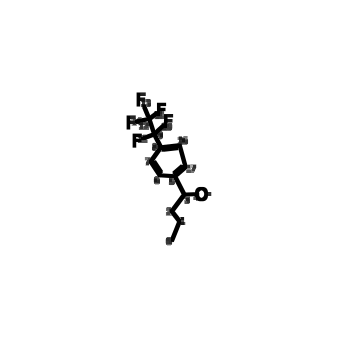 CCCC([O])c1ccc(C(F)(F)C(F)(F)F)cc1